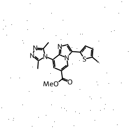 COC(=O)c1cc(-n2c(C)nnc2C)c2ncc(-c3ccc(C)s3)n2c1